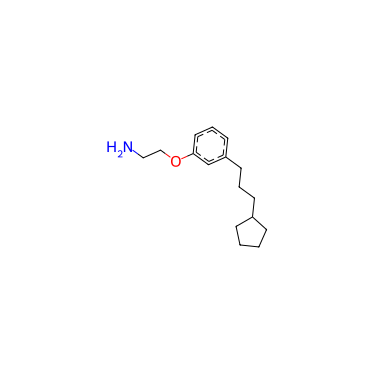 NCCOc1cccc(CCCC2CCCC2)c1